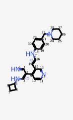 N=C/C(=C\NC1CCC1)c1ccncc1/C=C/Nc1ccc(CN2CCCCC2)cc1